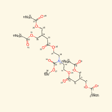 CCCCCCCCCC(=O)OCC(COC(=O)CCCCCCCCC)CC(=O)OCCN(CCOC(=O)CC(COC(=O)CCCCCCCCC)COC(=O)CCCCCCCCC)C(=O)OC(C)(C)C